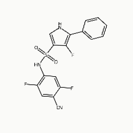 N#Cc1cc(F)c(NS(=O)(=O)c2c[nH]c(-c3ccccc3)c2F)cc1F